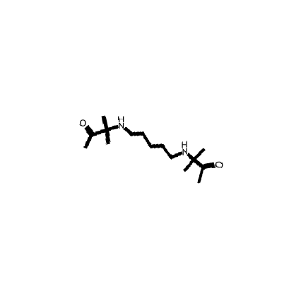 CC(=O)C(C)(C)NCCCCCNC(C)(C)C(C)=O